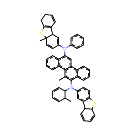 Cc1c(N(c2ccc3c(c2)C2C=CC=CC2S3)C2C=CC=CC2C)c2ccccc2c2cc(N(C3=CC4C5=C(CCC=C5)SC4(C)C=C3)c3ccccc3)c3ccccc3c12